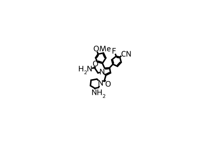 COc1ccc(-c2c(-c3ccc(C#N)c(F)c3)cc(C(=O)N3CCCC(N)C3)n2CC(N)=O)cc1